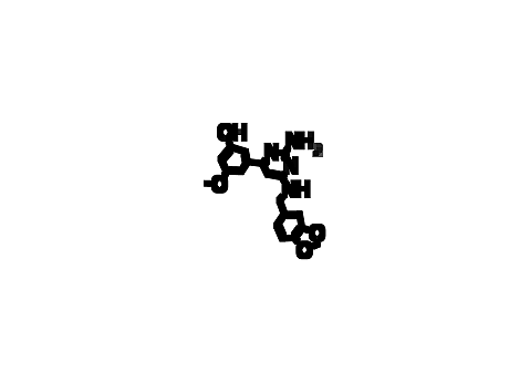 COc1cc(O)cc(-c2cc(NCc3ccc4c(c3)OCO4)nc(N)n2)c1